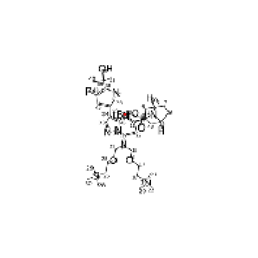 CC(C)(C)OC(=O)N1[C@@H]2CC[C@H]1C[C@H](c1cc(N(COCC[Si](C)(C)C)COCC[Si](C)(C)C)n3ncc(-c4cnc(C(C)(C)O)c(F)c4)c3n1)C2